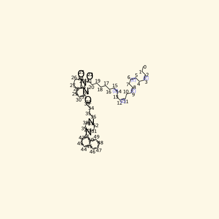 CC/C=C\C/C=C\C/C=C\C/C=C\C/C=C\CCCCCC(=O)N1C(=O)CCc2ccc(OCCCCN3CCN(c4cccc5ccccc45)CC3)nc21